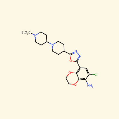 CCOC(=O)N1CCC(N2CCC(c3nnc(-c4cc(Cl)c(N)c5c4OCCO5)o3)CC2)CC1